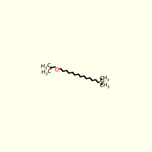 C=C(C)COCCCCCCCCCCCCCC[Si](C)(C)F